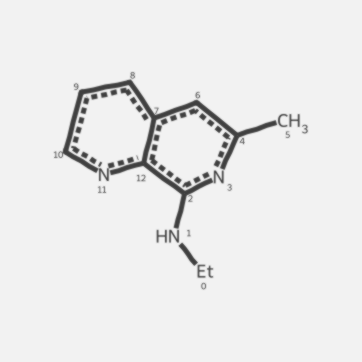 CCNc1nc(C)cc2cccnc12